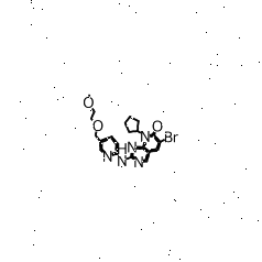 COCCOCc1ccc(Nc2ncc3cc(Br)c(=O)n(C4CCCC4)c3n2)nc1